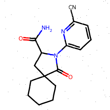 N#Cc1cccc(N2C(=O)C3(C[CH]CCC3)CC2C(N)=O)n1